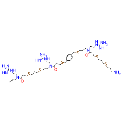 C=CCN(CCNC(=N)N)C(=O)CCSCCCSCCCN(CCNC(=N)N)C(=O)CCSCc1ccc(CSCCCN(CCNC(=N)N)C(=O)CCSCCCSCCCN)cc1